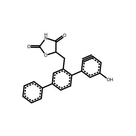 O=C1NC(=O)C(Cc2cc(-c3ccccc3)ccc2-c2c#ccc(O)c2)O1